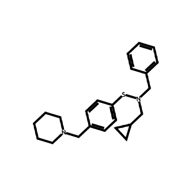 c1ccc(CN(CC2CC2)Sc2ccc(CN3CCCCC3)cc2)cc1